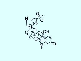 C[C@@H]1C[C@H]2[C@@H]3C[C@H](F)C4=CC(=O)C=C[C@]4(C)[C@@]3(F)[C@@H](O)C[C@]2(C)[C@@]1(OC(=O)c1ccc(S(C)(=O)=O)s1)C(=O)OCC#N